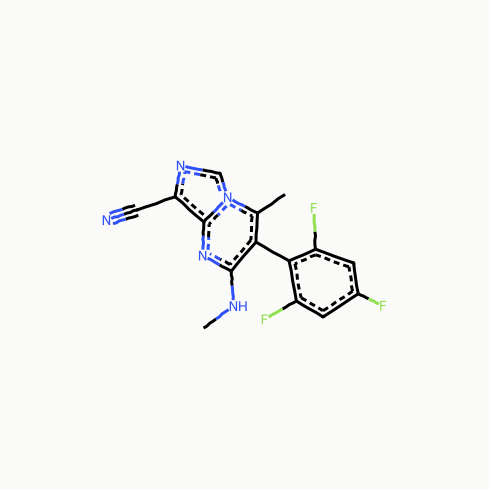 CNc1nc2c(C#N)ncn2c(C)c1-c1c(F)cc(F)cc1F